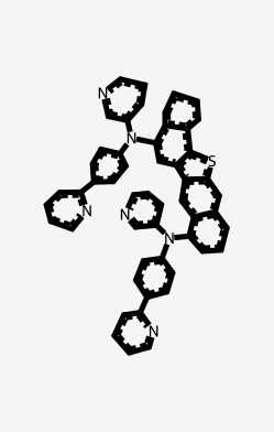 c1ccc(-c2ccc(N(c3cccnc3)c3cccc4cc5sc6c7ccccc7c(N(c7ccc(-c8ccccn8)cc7)c7cccnc7)cc6c5cc34)cc2)nc1